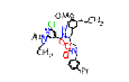 C=CCc1cc(C[C@H](NC(=O)c2cc(Cl)nc(N(CC=C)C(C)=O)c2)[C@H]2CN(Cc3cccc(C(C)C)c3)C(=O)O2)ccc1OC